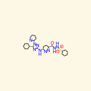 O=C(NNS(=O)(=O)c1ccccc1)c1ccc(Nc2nc(-c3ccccc3)n(-c3ccccn3)n2)nn1